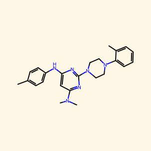 Cc1ccc(Nc2cc(N(C)C)nc(N3CCN(c4ccccc4C)CC3)n2)cc1